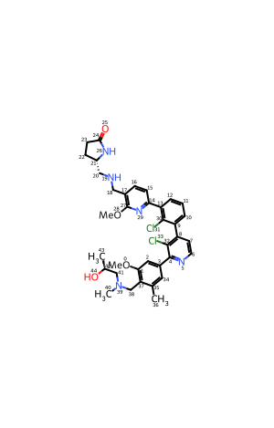 COc1cc(-c2nccc(-c3cccc(-c4ccc(CNC[C@@H]5CCC(=O)N5)c(OC)n4)c3Cl)c2Cl)cc(C)c1CN(C)C[C@H](C)O